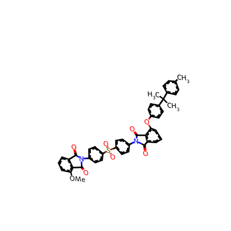 COc1cccc2c1C(=O)N(c1ccc(S(=O)(=O)c3ccc(N4C(=O)c5cccc(Oc6ccc(C(C)(C)c7ccc(C)cc7)cc6)c5C4=O)cc3)cc1)C2=O